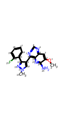 COc1cc2ncnc(-c3cn(C)nc3-c3ccccc3F)c2nc1N